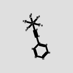 FS(F)(F)(F)(F)C#Cc1cc[c]cc1